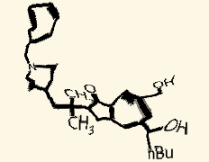 CCCCC(O)c1cc2c(cc1CO)C(=O)C(C(C)(C)CC1CCN(Cc3ccccc3)CC1)C2